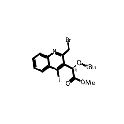 COC(=O)[C@@H](OC(C)(C)C)c1c(CBr)nc2ccccc2c1I